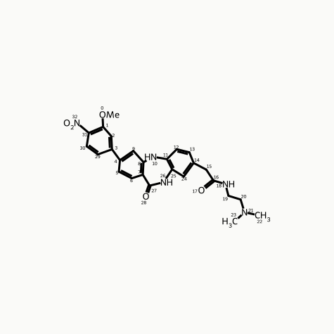 COc1cc(-c2ccc3c(c2)Nc2ccc(CC(=O)NCCN(C)C)cc2NC3=O)ccc1[N+](=O)[O-]